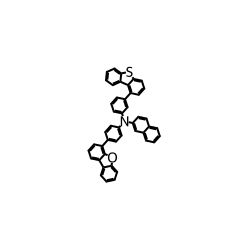 c1cc(-c2cccc3sc4ccccc4c23)cc(N(c2ccc(-c3cccc4c3oc3ccccc34)cc2)c2ccc3ccccc3c2)c1